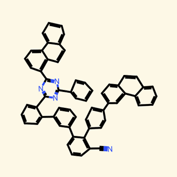 N#Cc1cccc(-c2cccc(-c3ccccc3-c3nc(-c4ccccc4)nc(-c4cccc5c4ccc4ccccc45)n3)c2)c1-c1ccc(-c2ccc3ccc4ccccc4c3c2)cc1